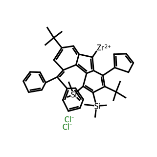 CC(C)(C)c1cc2c(c(=C(c3ccccc3)c3ccccc3)c1)=c1c([Si](C)(C)C)c([Si](C)(C)C)c(C(C)(C)C)c(C3=CC=CC3)c1=[C]2[Zr+2].[Cl-].[Cl-]